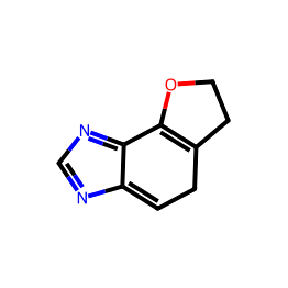 C1=NC2=CCC3=C(OCC3)C2=N1